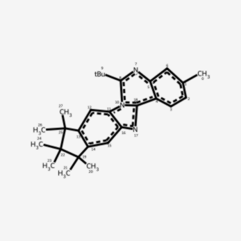 Cc1ccc2c(c1)nc(C(C)(C)C)n1c3cc4c(cc3nc21)C(C)(C)C(C)(C)C4(C)C